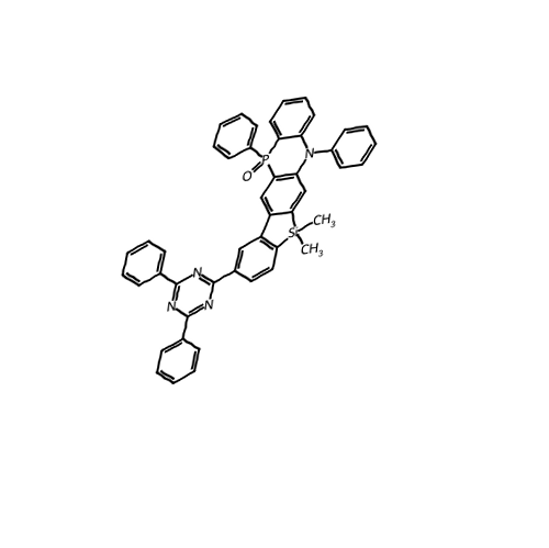 C[Si]1(C)c2ccc(-c3nc(-c4ccccc4)nc(-c4ccccc4)n3)cc2-c2cc3c(cc21)N(c1ccccc1)c1ccccc1P3(=O)c1ccccc1